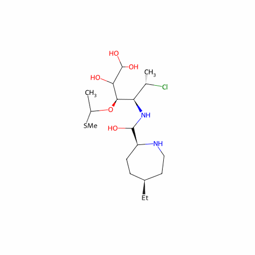 CC[C@@H]1CCN[C@H](C(O)N[C@H]([C@H](C)Cl)[C@@H](OC(C)SC)C(O)C(O)O)CC1